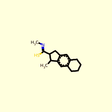 C/N=C(\S)C1Cc2cc3c(cc2C1C)CCCC3